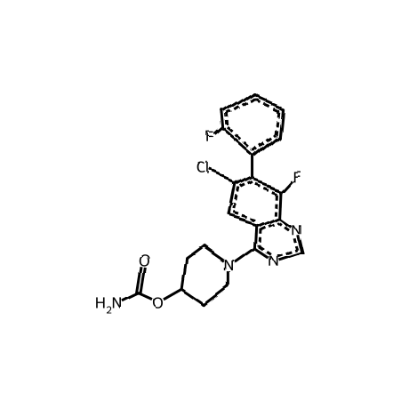 NC(=O)OC1CCN(c2ncnc3c(F)c(-c4ccccc4F)c(Cl)cc23)CC1